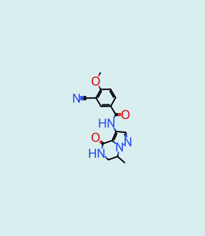 COc1ccc(C(=O)Nc2cnn3c2C(=O)NCC3C)cc1C#N